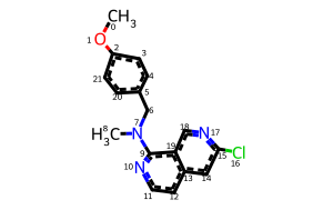 COc1ccc(CN(C)c2nccc3cc(Cl)ncc23)cc1